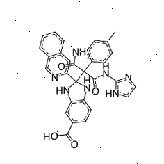 Cc1ccc(C(C(N)=O)(C(=O)Nc2ncc[nH]2)C2(c3cc4ccccc4cn3)Nc3ccc(C(=O)O)cc3N2)cc1